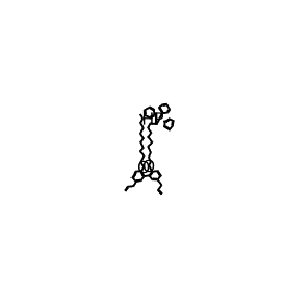 C=CCc1ccc(OCCCCCCCCCCC)c(-c2cc(CC=C)ccc2OCCCCCCCCCC[PH](c2ccccc2)(c2ccccc2)c2ccccc2)c1